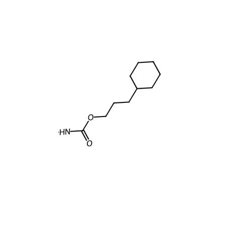 [NH]C(=O)OCCCC1CCCCC1